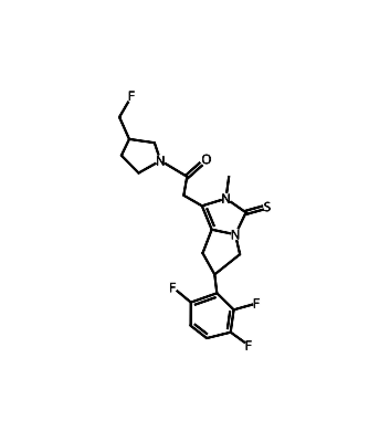 Cn1c(CC(=O)N2CCC(CF)C2)c2n(c1=S)CC(c1c(F)ccc(F)c1F)C2